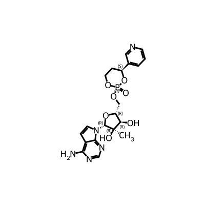 C[C@@]1(O)[C@H](O)[C@@H](CO[P@@]2(=O)OCC[C@@H](c3cccnc3)O2)O[C@H]1n1ccc2c(N)ncnc21